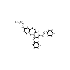 CCOC(=O)COc1ccc2c(c1)CCCC(N(Cc1ccccc1)C[C@H](O)COc1ccccc1)C2